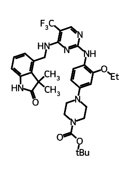 CCOc1cc(N2CCN(C(=O)OC(C)(C)C)CC2)ccc1Nc1ncc(C(F)(F)F)c(NCc2cccc3c2C(C)(C)C(=O)N3)n1